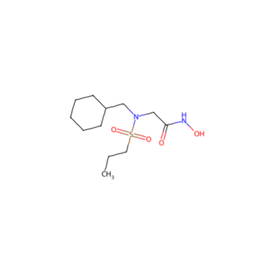 CCCS(=O)(=O)N(CC(=O)NO)CC1CCCCC1